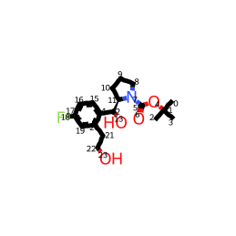 CC(C)(C)OC(=O)N1CCC[C@@H]1C(O)c1ccc(F)cc1CCO